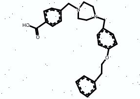 O=C(O)c1ccc(CN2CCN(Cc3ccc(OCCc4ccccc4)cc3)CC2)cc1